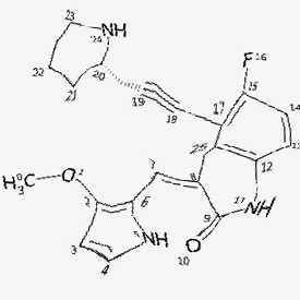 COc1cc[nH]c1/C=C1\C(=O)Nc2ccc(F)c(C#C[C@@H]3CCCN3)c21